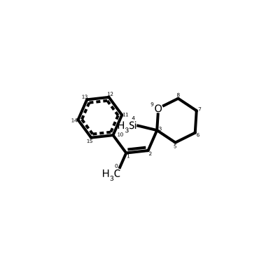 CC(=CC1([SiH3])CCCCO1)c1ccccc1